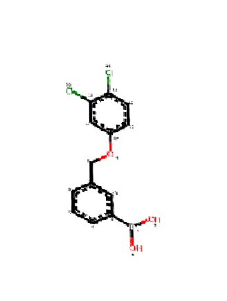 OB(O)c1cccc(COc2ccc(Cl)c(Cl)c2)c1